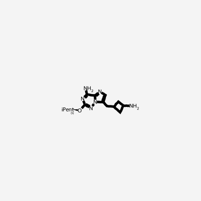 CCC[C@H](C)Oc1nc(N)c2ncc(CC3CC(N)C3)n2n1